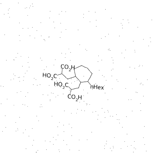 CCCCCCC1CCCCC(CC(C(=O)O)C(=O)O)C1CC(C(=O)O)C(=O)O